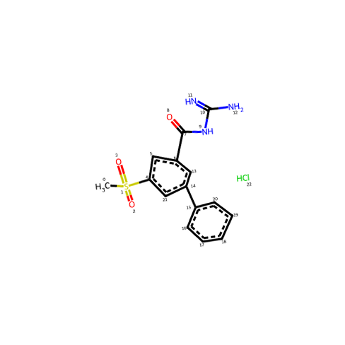 CS(=O)(=O)c1cc(C(=O)NC(=N)N)cc(-c2ccccc2)c1.Cl